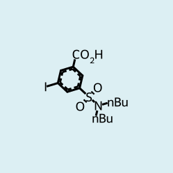 CCCCN(CCCC)S(=O)(=O)c1cc(I)cc(C(=O)O)c1